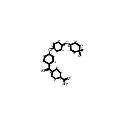 CC(C)C(=O)C1CCC(C(=O)C2CCC(OC3CCC(OC4CCC(C)(C)CC4)CC3)CC2)CC1